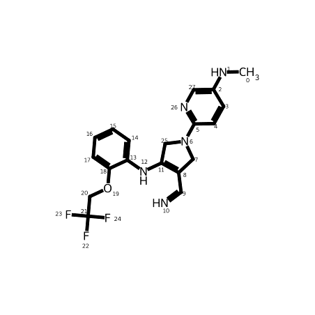 CNc1ccc(N2CC(C=N)=C(Nc3ccccc3OCC(F)(F)F)C2)nc1